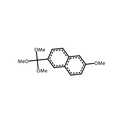 COc1ccc2cc(C(OC)(OC)OC)ccc2c1